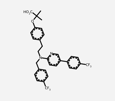 CC(C)(Oc1ccc(CCN(Cc2ccc(C(F)(F)F)cc2)c2ccc(-c3ccc(C(F)(F)F)cc3)cn2)cc1)C(=O)O